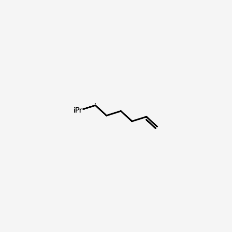 C=CCCC[CH]C(C)C